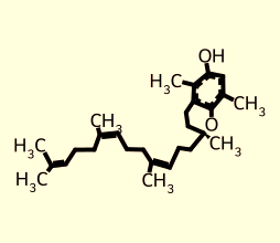 CC(C)=CCCC(C)=CCCC(C)=CCC[C@]1(C)CCc2c(C)c(O)cc(C)c2O1